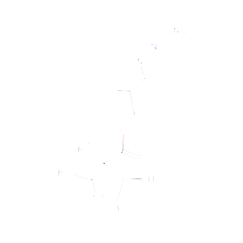 CC(C)C(C)(C(=O)OCC(O)CN=[N+]=[N-])C(C)C